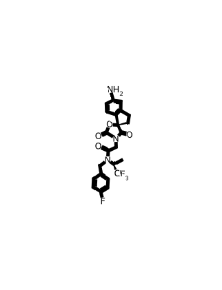 C[C@H](N(Cc1ccc(F)cc1)C(=O)CN1C(=O)O[C@@]2(CCc3cc(N)ccc32)C1=O)C(F)(F)F